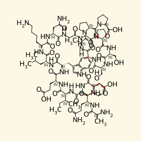 CC[C@H](C)[C@H](NC(=O)[C@H](Cc1ccccc1)NC(=O)[C@H](CC(=O)O)NC(=O)[C@H](CCC(N)=O)NC(=O)[C@H](C)N)C(=O)N[C@@H](CCC(=O)O)C(=O)N[C@@H](Cc1c[nH]c2ccccc12)C(=O)N[C@@H](CC(C)C)C(=O)N[C@@H](CCCCN)C(=O)N[C@@H](CC(N)=O)C(=O)NCC(=O)NCC(=O)N1CCC[C@H]1C(=O)N[C@@H](CO)C(=O)N[C@@H](CO)C(=O)NCC(=O)N[C@@H](C)C(=O)N1CCC[C@H]1C(=O)N1CCC[C@H]1C(=O)O